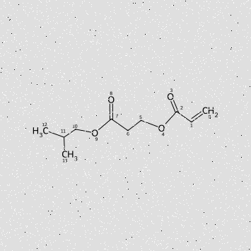 C=CC(=O)OCCC(=O)OCC(C)C